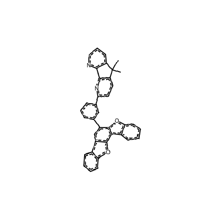 CC1(C)c2cccnc2-c2nc(-c3cccc(-c4cc5c6ccccc6oc5c5c4oc4ccccc45)c3)ccc21